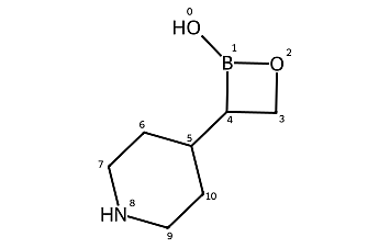 OB1OCC1C1CCNCC1